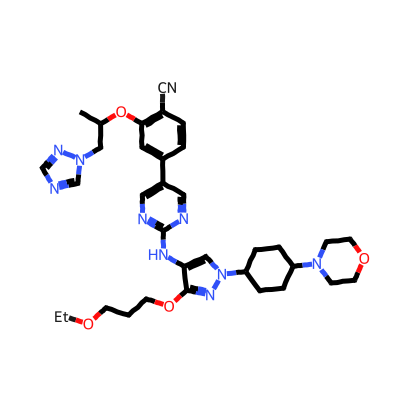 CCOCCCOc1nn(C2CCC(N3CCOCC3)CC2)cc1Nc1ncc(-c2ccc(C#N)c(OC(C)Cn3cncn3)c2)cn1